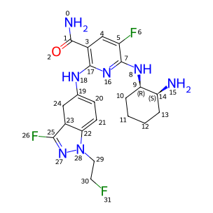 NC(=O)c1cc(F)c(N[C@@H]2CCCC[C@@H]2N)nc1NC1=CC=C2C(C1)C(F)=NN2CCF